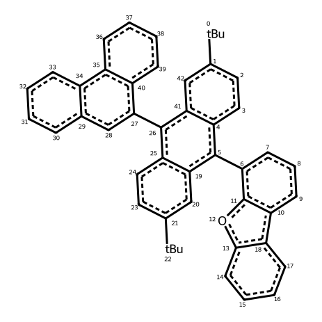 CC(C)(C)c1ccc2c(-c3cccc4c3oc3ccccc34)c3cc(C(C)(C)C)ccc3c(-c3cc4ccccc4c4ccccc34)c2c1